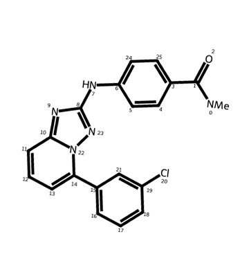 CNC(=O)c1ccc(Nc2nc3cccc(-c4cccc(Cl)c4)n3n2)cc1